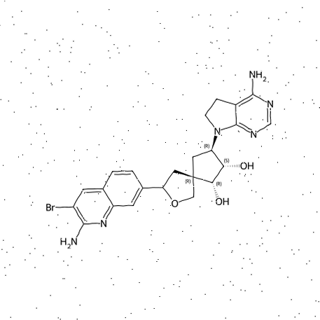 Nc1nc2cc(C3C[C@@]4(CO3)C[C@@H](N3CCc5c(N)ncnc53)[C@H](O)[C@@H]4O)ccc2cc1Br